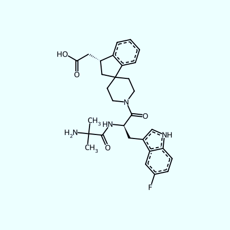 CC(C)(N)C(=O)N[C@H](Cc1c[nH]c2ccc(F)cc12)C(=O)N1CCC2(CC1)C[C@H](CC(=O)O)c1ccccc12